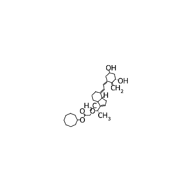 C=C1C(=CC=C2CCC[C@]3(C)C([C@H](C)OCC(=O)OC4CCCCCCC4)=CC[C@@H]23)C[C@@H](O)C[C@@H]1O